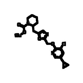 CC(C)(C)OC(=O)N1CCCCC1Cc1cnc(COc2ncc(C3CC3)cc2Cl)o1